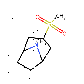 CN1C2CCC1CC(S(C)(=O)=O)C2